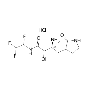 Cl.N[C@@H](CC1CCNC1=O)C(O)C(=O)NC(F)C(F)F